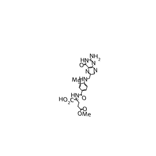 COC(=O)CC[C@H](NC(=O)c1ccc(NCc2cnc3nc(N)[nH]c(=O)c3n2)cc1)C(=O)O.[Mg]